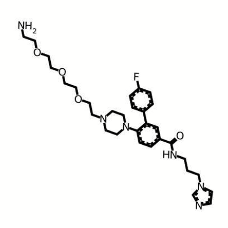 NCCOCCOCCOCCN1CCN(c2ccc(C(=O)NCCCn3ccnc3)cc2-c2ccc(F)cc2)CC1